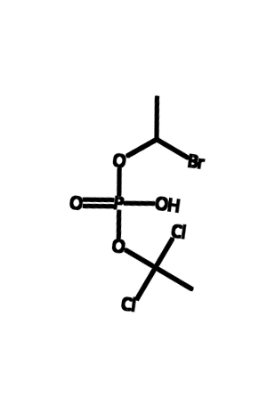 CC(Br)OP(=O)(O)OC(C)(Cl)Cl